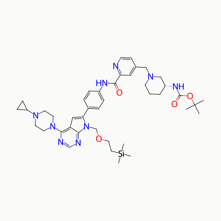 CC(C)(C)OC(=O)N[C@@H]1CCCN(Cc2ccnc(C(=O)Nc3ccc(-c4cc5c(N6CCN(C7CC7)CC6)ncnc5n4COCC[Si](C)(C)C)cc3)c2)C1